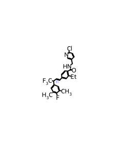 CCc1cc(/C=C/C(c2cc(C)c(F)c(C)c2)C(F)(F)F)ccc1C(=O)NCc1ccc(Cl)nc1